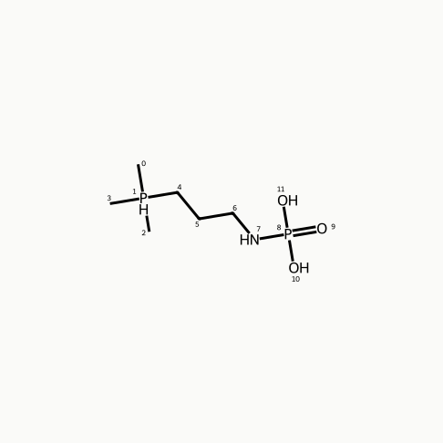 C[PH](C)(C)CCCNP(=O)(O)O